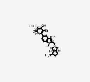 CCc1c(-c2ccc3c(c2)cc(CN2C[C@H]4CC[C@@H](N)[C@H]4C2)n3C)[nH]c(=O)c(C(=O)O)c1O.Cl